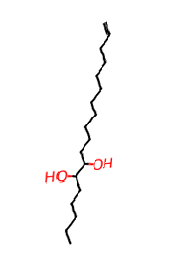 C=CCCCCCCCCCC(O)C(O)CCCCC